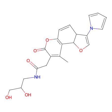 Cc1c2c(oc(=O)c1CC(=O)NCC(O)CO)C=CC1C(n3cccc3)=COC21